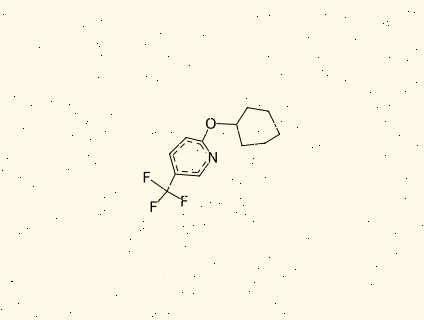 FC(F)(F)c1ccc(OC2CCCCC2)nc1